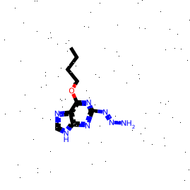 CCCCOc1nc(N=NN)nc2[nH]cnc12